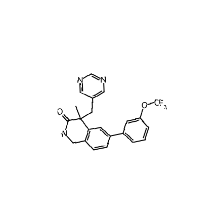 CC1(Cc2cncnc2)C(=O)[N]Cc2ccc(-c3cccc(OC(F)(F)F)c3)cc21